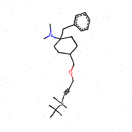 CN(C)C1(Cc2ccccc2)CCC(COCC#C[Si](C)(C)C(C)(C)C)CC1